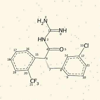 N=C(N)NC(=O)[C@H](Cc1cccc(Cl)c1)c1ccccc1C(F)(F)F